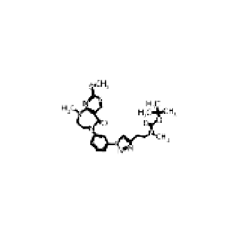 CSc1ncc2c(n1)N(C)CCN(c1cccc(-n3cc(CCN(C)C(=O)OC(C)(C)C)nn3)c1)C2=O